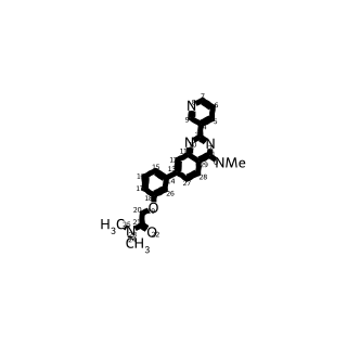 CNc1nc(-c2cccnc2)nc2cc(-c3cccc(OCC(=O)N(C)C)c3)ccc12